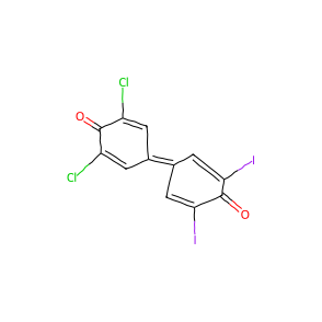 O=C1C(Cl)=CC(=C2C=C(I)C(=O)C(I)=C2)C=C1Cl